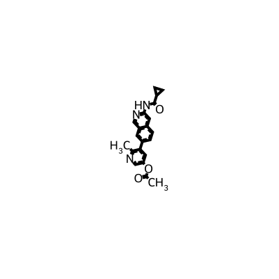 CC(=O)Oc1cnc(C)c(-c2ccc3cc(NC(=O)C4CC4)ncc3c2)c1